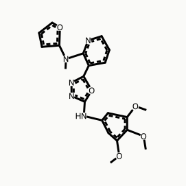 COc1cc(Nc2nnc(-c3cccnc3N(C)c3ccco3)o2)cc(OC)c1OC